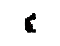 CC[C@@H]1CN(C(=O)c2ccc(C(=O)N3C[C@@H](CC)c4c3cc(OC(=O)N(C)CCN(C)C(=O)CCOCCOCCOCCN3C(=O)C=CC3=O)c3ccccc43)s2)c2cc(OC(C)=O)c3ccccc3c21